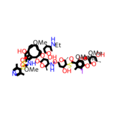 CCN[C@H]1CO[C@@H](O[C@H]2[C@H](O[C@H]3C#C/C=C/C#C[C@]4(O)CC(=O)C(NC(=O)OC)=C3/C4=C\CSSc3c(C)cncc3C)O[C@H](C)[C@@H](NO[C@H]3C[C@H](O)[C@H](SC(=O)c4c(C)c(I)c(O[C@@H]5O[C@@H](C)[C@H](O)[C@@H](OC)[C@H]5O)c(OC)c4OC)[C@@H](C)O3)[C@@H]2O)C[C@@H]1OC